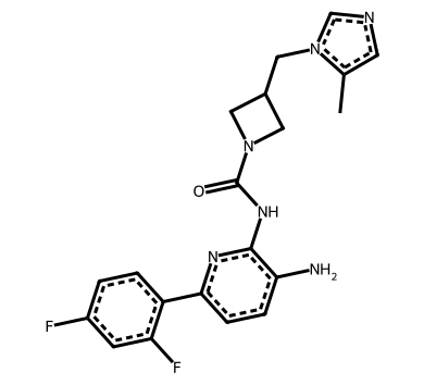 Cc1cncn1CC1CN(C(=O)Nc2nc(-c3ccc(F)cc3F)ccc2N)C1